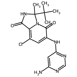 CC(C)(C)C1(C)NC(=O)c2c(Cl)cc(Nc3cc(N)ncn3)c(=O)n21